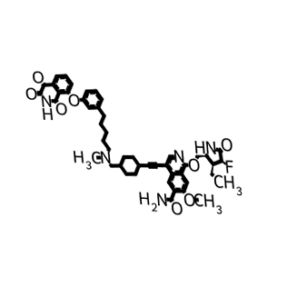 CC[C@@H]1[C@H](F)C(=O)N[C@@H]1COc1ncc(C#CC2CCC(CN(C)CCCCCc3cccc(Oc4cccc5c4C(=O)NC(=O)C5=O)c3)CC2)c2cc(C(N)=O)c(OC)cc12